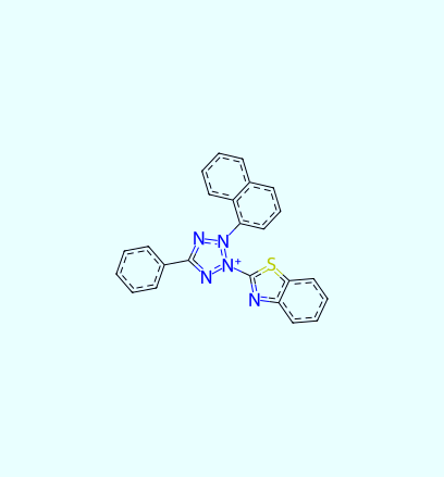 c1ccc(-c2nn(-c3cccc4ccccc34)[n+](-c3nc4ccccc4s3)n2)cc1